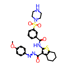 COc1ccc(N=NC(=O)c2c(NC(=O)c3cccc(S(=O)(=O)N4CCNCC4)c3)sc3c2CCCC3)cc1